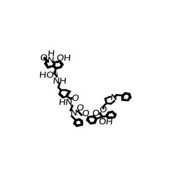 O=C(NCCN(Cc1ccccc1)C(=O)COc1cccc([C@](O)(C(=O)OCC2CCN(Cc3ccccc3)CC2)c2ccccc2)c1)C1=CCC(CCNC[C@H](O)c2ccc(O)c3[nH]c(=O)ccc23)C=C1